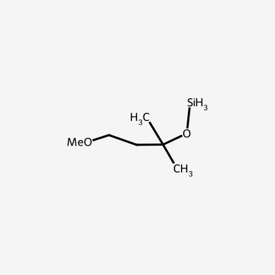 COCCC(C)(C)O[SiH3]